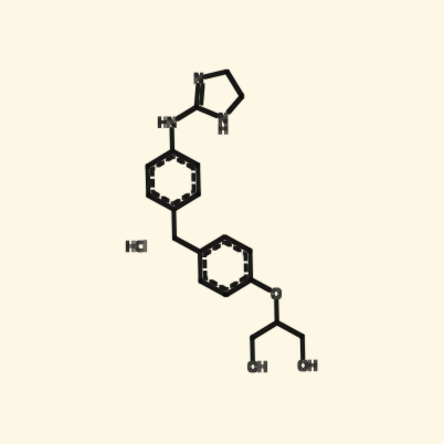 Cl.OCC(CO)Oc1ccc(Cc2ccc(NC3=NCCN3)cc2)cc1